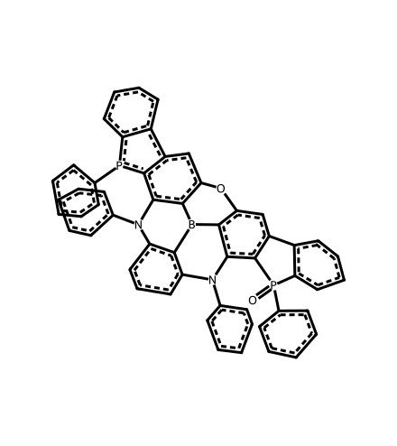 O=P1(c2ccccc2)c2ccccc2-c2cc3c4c(c21)N(c1ccccc1)c1cccc2c1B4c1c(cc4c5ccccc5p(-c5ccccc5)c4c1N2c1ccccc1)O3